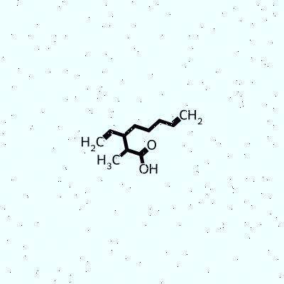 C=CCCCC(C=C)C(C)C(=O)O